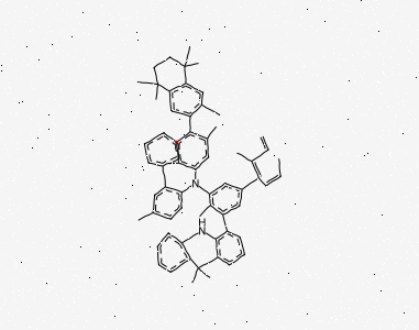 C=C/C(C)=C(\C=C/C)c1cc(-c2cccc3c2Nc2ccccc2C3(C)C)c(C)c(N(c2cc(C)c(-c3cc4c(cc3C)C(C)(C)CCC4(C)C)cc2C)c2ccc(C)cc2-c2ccccc2)c1